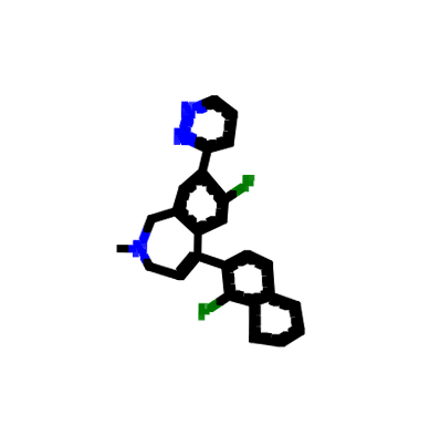 CN1CC=C(c2ccc3ccccc3c2F)c2cc(F)c(-c3cccnn3)cc2C1